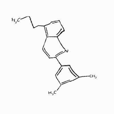 CCCc1cccc2nc(-c3cc(C)cc(C)c3)ccc12